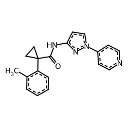 Cc1ccccc1C1(C(=O)Nc2ccn(-c3ccncc3)n2)CC1